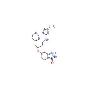 Cn1cnc(NCCC(Cc2ccccc2)Oc2ccc3c(=O)[nH][nH]c3c2)c1